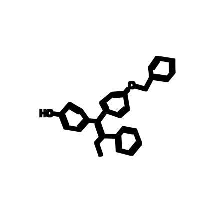 CC/C(=C(\c1ccc(O)cc1)c1ccc(OCc2ccccc2)cc1)c1ccccc1